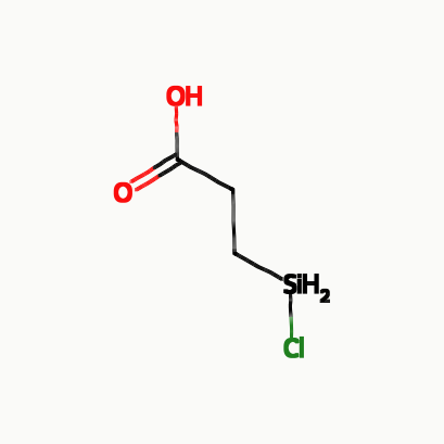 O=C(O)CC[SiH2]Cl